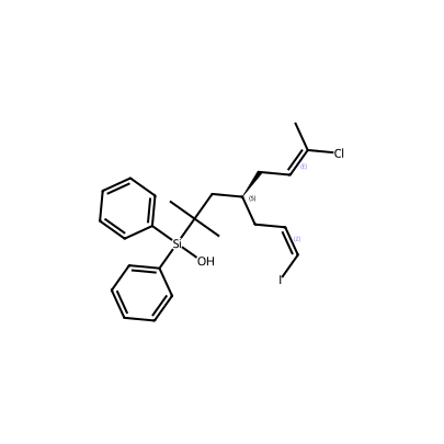 C/C(Cl)=C\C[C@@H](C/C=C\I)CC(C)(C)[Si](O)(c1ccccc1)c1ccccc1